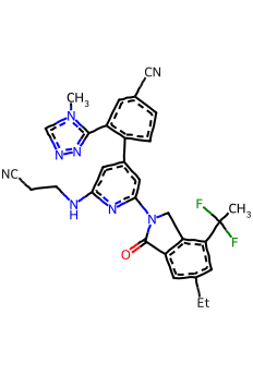 CCc1cc2c(c(C(C)(F)F)c1)CN(c1cc(-c3ccc(C#N)cc3-c3nncn3C)cc(NCCC#N)n1)C2=O